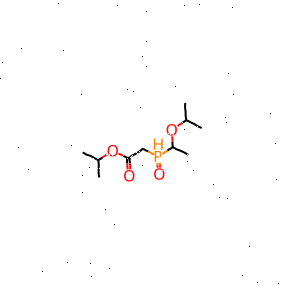 CC(C)OC(=O)C[PH](=O)C(C)OC(C)C